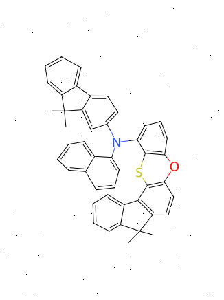 CC1(C)c2ccccc2-c2ccc(N(c3cccc4c3Sc3c(ccc5c3-c3ccccc3C5(C)C)O4)c3cccc4ccccc34)cc21